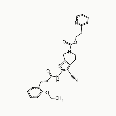 CCOc1ccccc1C=CC(=O)Nc1sc2c(c1C#N)CCN(C(=O)OCCc1ccccn1)C2